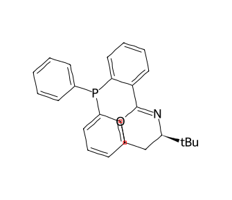 CC(C)(C)[C@H]1CCOC(c2ccccc2P(c2ccccc2)c2ccccc2)=N1